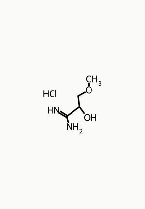 COCC(O)C(=N)N.Cl